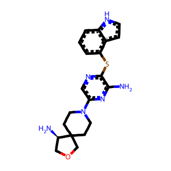 Nc1nc(N2CCC3(CC2)COC[C@H]3N)cnc1Sc1cccc2[nH]ccc12